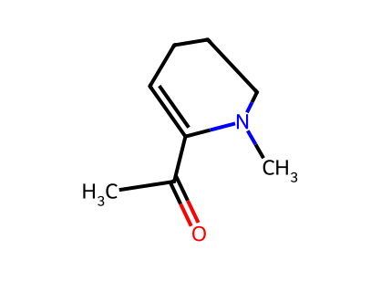 CC(=O)C1=CCCCN1C